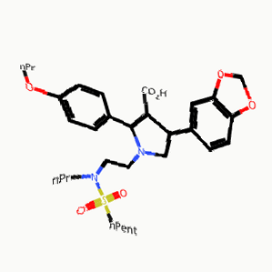 CCCCCS(=O)(=O)N(CCC)CCN1CC(c2ccc3c(c2)OCO3)C(C(=O)O)C1c1ccc(OCCC)cc1